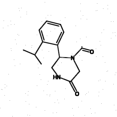 CC(C)c1ccccc1C1CNC(=O)CN1[C]=O